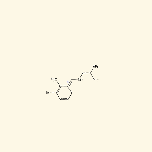 CCCC(CCC)CN/C=C1\CC=CC(Br)=C1C